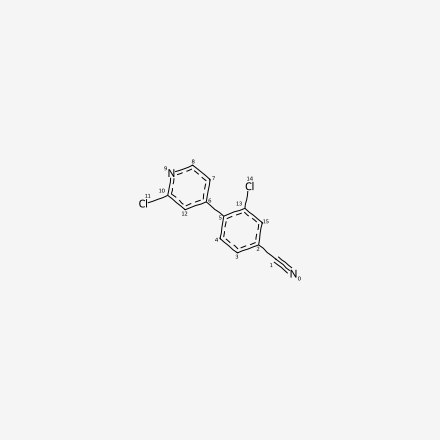 N#Cc1ccc(-c2ccnc(Cl)c2)c(Cl)c1